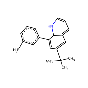 Bc1cccc(C2=CC(C(C)(C)SC)=CC3=CC=CNC32)c1